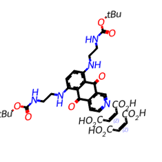 CC(C)(C)OC(=O)NCCNc1ccc(NCCNC(=O)OC(C)(C)C)c2c1C(=O)c1ccncc1C2=O.O=C(O)/C=C\C(=O)O.O=C(O)/C=C\C(=O)O